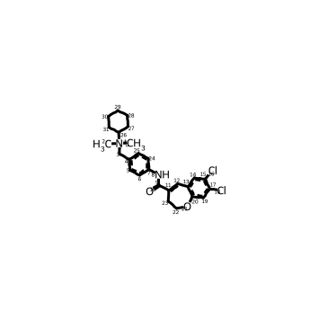 C[N+](C)(Cc1ccc(NC(=O)C2=Cc3cc(Cl)c(Cl)cc3OCC2)cc1)C1CCCCC1